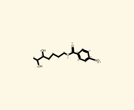 CC(O)C(O)CCCCOC(=O)c1ccc([N+](=O)[O-])cc1